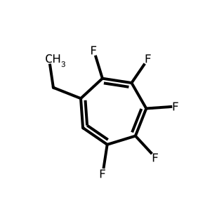 CCC1=C=C(F)C(F)=C(F)C(F)=C1F